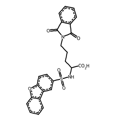 O=C(O)C(CCCN1C(=O)c2ccccc2C1=O)NS(=O)(=O)c1ccc2oc3ccccc3c2c1